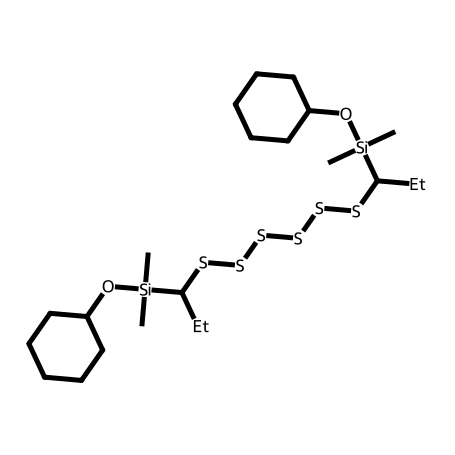 CCC(SSSSSSC(CC)[Si](C)(C)OC1CCCCC1)[Si](C)(C)OC1CCCCC1